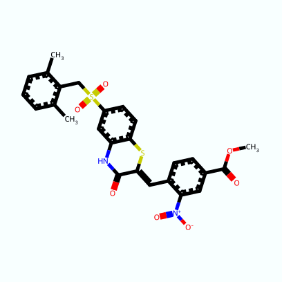 COC(=O)c1ccc(C=C2Sc3ccc(S(=O)(=O)Cc4c(C)cccc4C)cc3NC2=O)c([N+](=O)[O-])c1